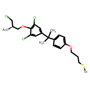 CCSCCCOc1ccc(C(C)(C)c2cc(Cl)c(OC[C@H](CCl)OC(C)=O)c(Cl)c2)cc1